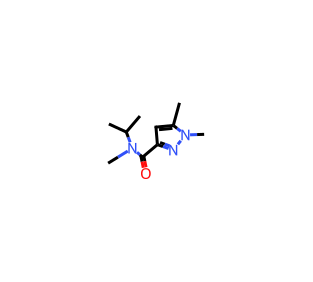 Cc1cc(C(=O)N(C)C(C)C)nn1C